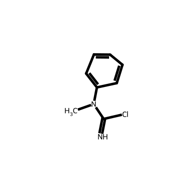 CN(C(=N)Cl)c1ccccc1